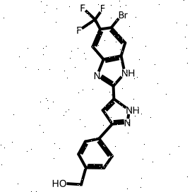 OCc1ccc(-c2cc(-c3nc4cc(C(F)(F)F)c(Br)cc4[nH]3)[nH]n2)cc1